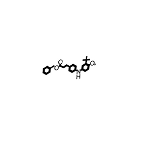 COc1ccc(Nc2ccc(/C=C/C(=O)OCc3ccccc3)cc2)cc1C(C)(C)C